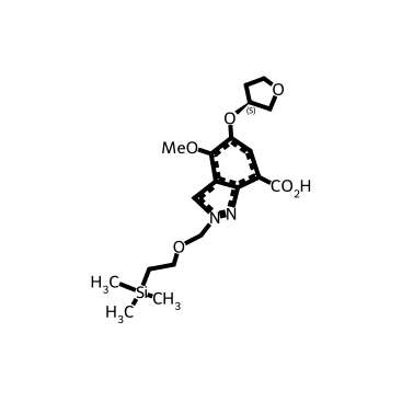 COc1c(O[C@H]2CCOC2)cc(C(=O)O)c2nn(COCC[Si](C)(C)C)cc12